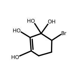 OC1=C(O)C(O)(O)C(Br)CC1